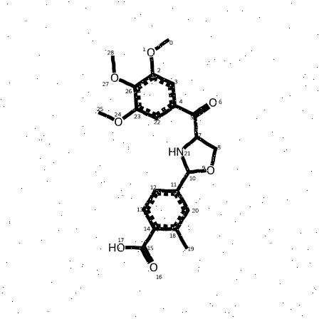 COc1cc(C(=O)C2COC(c3ccc(C(=O)O)c(C)c3)N2)cc(OC)c1OC